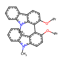 CC(C)Oc1ccc2c(c1-c1c(OC(C)C)ccc3c4ccccc4n(C)c13)c1ccccc1n2C